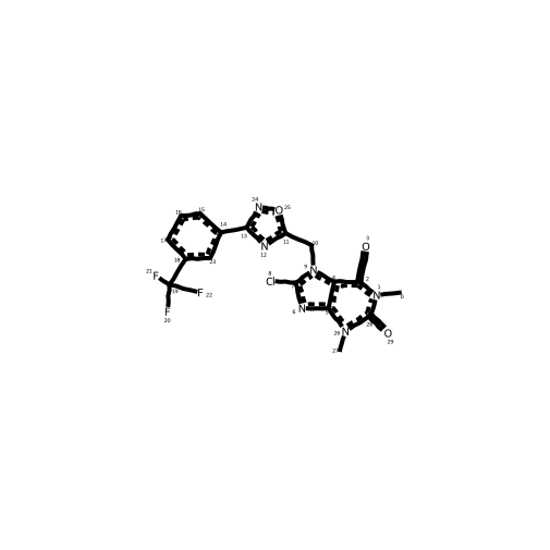 Cn1c(=O)c2c(nc(Cl)n2Cc2nc(-c3cccc(C(F)(F)F)c3)no2)n(C)c1=O